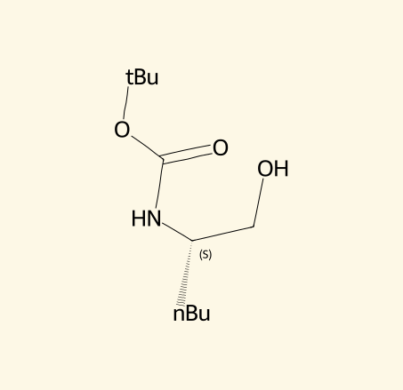 CCCC[C@@H](CO)NC(=O)OC(C)(C)C